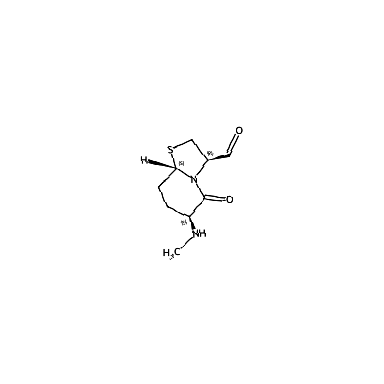 CN[C@H]1CC[C@@H]2SC[C@@H](C=O)N2C1=O